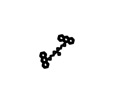 O=C(OCCOc1c2ccccc2cc2ccccc12)OCCOc1c2ccccc2cc2ccccc12